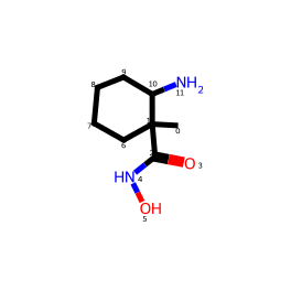 CC1(C(=O)NO)CCCCC1N